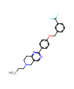 O=C(O)CCN1CCc2nc(-c3ccc(OCc4cccc(C(F)F)c4)cc3)ncc2C1